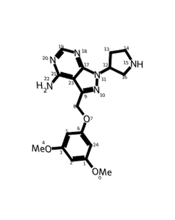 COc1cc(OC)cc(OCc2nn(C3CCNC3)c3ncnc(N)c23)c1